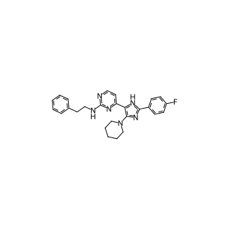 Fc1ccc(-c2nc(N3CCCCC3)c(-c3ccnc(NCCc4ccccc4)n3)[nH]2)cc1